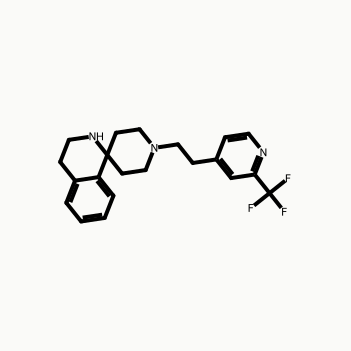 FC(F)(F)c1cc(CCN2CCC3(CC2)NCCc2ccccc23)ccn1